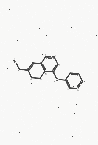 BrCC1=Cc2cccc(Oc3ccccc3)c2CC1